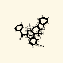 O=C(c1ccccc1)N1CC[C@]23c4c5ccc(O)c4O[C@H]2c2oc4ccccc4c2C[C@@]3(O)[C@H]1C5